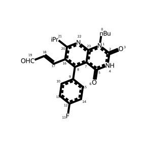 CCCCn1c(=O)[nH]c(=O)c2c(-c3ccc(F)cc3)c(/C=C/C=O)c(C(C)C)nc21